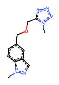 Cn1nnnc1COCc1ccc2c(cnn2C)c1